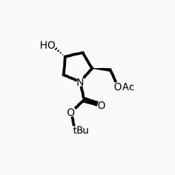 CC(=O)OC[C@@H]1C[C@@H](O)CN1C(=O)OC(C)(C)C